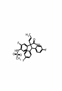 CC=CC(C(N)=O)(c1ccc(NS(C)(=O)=O)c(F)c1)C(c1ccc(F)cc1)c1ccc(F)cc1